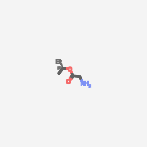 CC[C@@H](C)OC(=O)CN